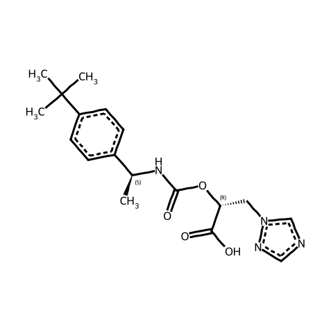 C[C@H](NC(=O)O[C@H](Cn1cncn1)C(=O)O)c1ccc(C(C)(C)C)cc1